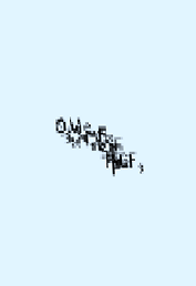 COCC1CCC(C2CCC(C3(F)C=CC(C(F)(F)C(F)C(F)(F)F)C(F)=C3)CC2)CC1